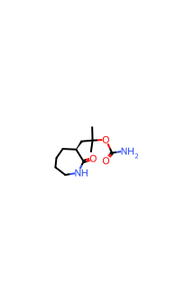 CC(C)(C[C@@H]1CCCCNC1=O)OC(N)=O